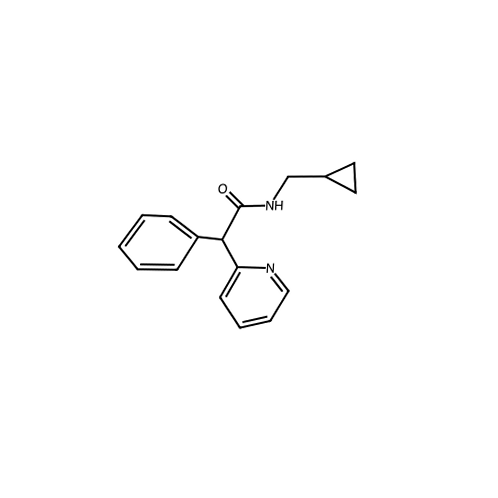 O=C(NCC1CC1)C(c1ccccc1)c1ccccn1